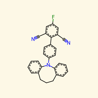 N#Cc1cc(F)cc(C#N)c1-c1ccc(N2c3ccccc3CCCc3ccccc32)cc1